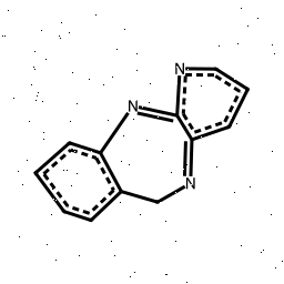 c1ccc2c(c1)CN=c1cccnc1=N2